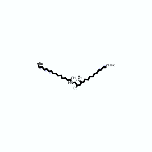 C=C(CCCCCCC/C=C/C=C/CCCCCC)CC(CC)CNC(=C)CCCCCCC/C=C/C=C/C=C/CCCC